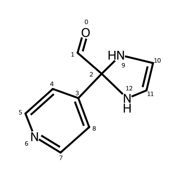 O=CC1(c2ccncc2)NC=CN1